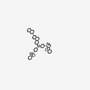 c1ccc2cc(-c3ccc4c(ccc5cc(N(c6ccc(-c7nc8ccccc8o7)cc6)c6ccc(-c7nccc8c7oc7ccccc78)cc6)ccc54)c3)ccc2c1